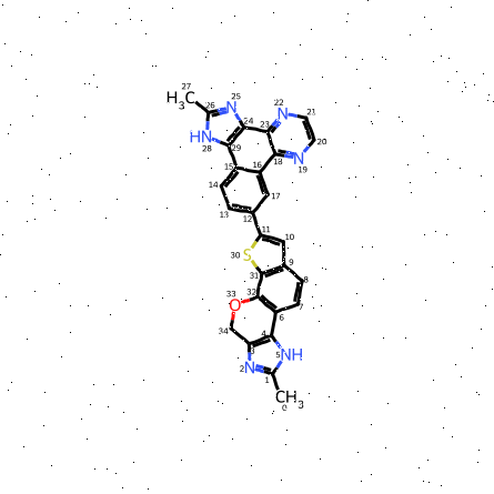 Cc1nc2c([nH]1)-c1ccc3cc(-c4ccc5c(c4)c4nccnc4c4nc(C)[nH]c54)sc3c1OC2